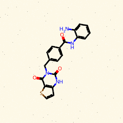 Nc1ccccc1NC(=O)c1ccc(Cn2c(=O)[nH]c3ccsc3c2=O)cc1